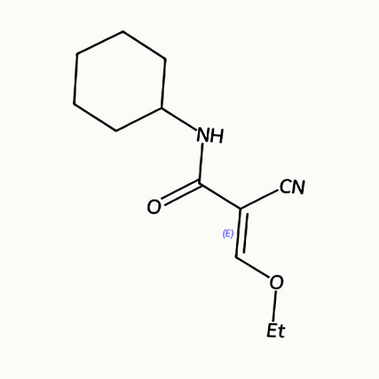 CCO/C=C(\C#N)C(=O)NC1CCCCC1